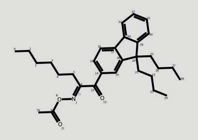 CCCCCC/C(=N\OC(C)=O)C(=O)c1ccc2c(c1)C(CCCC)(CCCC)c1ccccc1-2